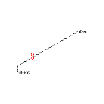 CCCCC/C=C\C/C=C\CCCCCCCCOC(=O)CCCCCCCCCCCCCCCCCCCCCCCCCCCCCCCCCCCCCC